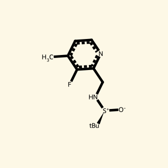 Cc1ccnc(CN[S@@+]([O-])C(C)(C)C)c1F